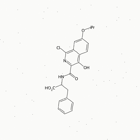 CC(C)Oc1ccc2c(O)c(C(=O)NC(Cc3ccccc3)C(=O)O)nc(Cl)c2c1